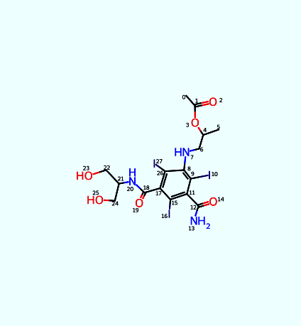 CC(=O)OC(C)CNc1c(I)c(C(N)=O)c(I)c(C(=O)NC(CO)CO)c1I